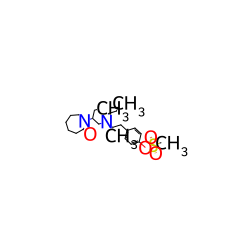 CCCN(CC(CC)N1CCCCCC1=O)C(C)Cc1ccc(OS(C)(=O)=O)cc1